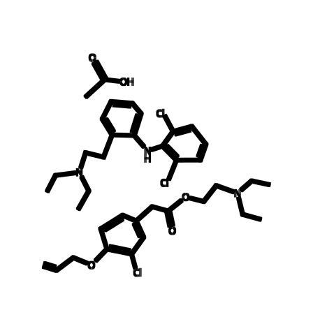 C=CCOc1ccc(CC(=O)OCCN(CC)CC)cc1Cl.CC(=O)O.CCN(CC)CCc1ccccc1Nc1c(Cl)cccc1Cl